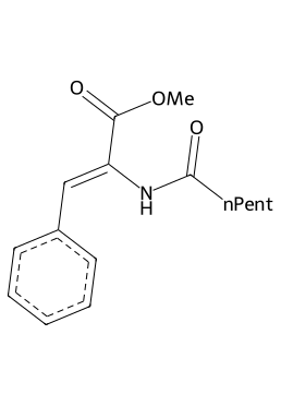 CCCCCC(=O)NC(=Cc1ccccc1)C(=O)OC